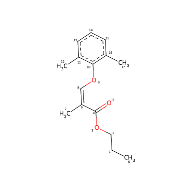 CCCOC(=O)C(C)=COc1c(C)cccc1C